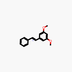 COc1cc(/C=C/c2ccccc2)cc(OC)c1